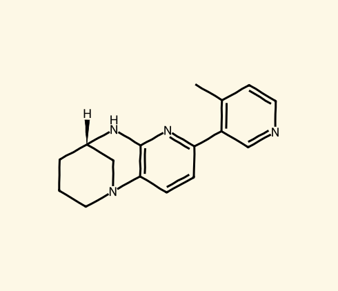 Cc1ccncc1-c1ccc2c(n1)N[C@H]1CCCN2C1